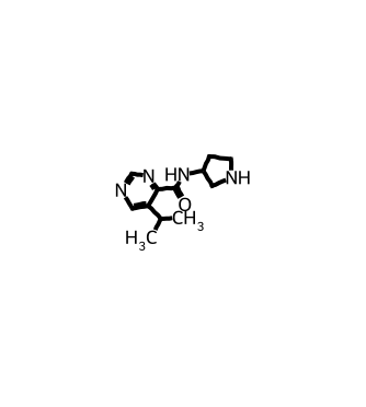 CC(C)c1cncnc1C(=O)NC1CCNC1